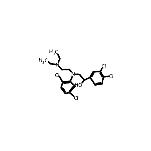 CCN(CC)CCN(CC(O)c1ccc(Cl)c(Cl)c1)c1cc(Cl)ccc1Cl